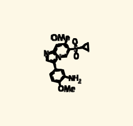 COc1ccc(-c2cnc3cc(OC)c(S(=O)(=O)C4CC4)cn23)cc1N